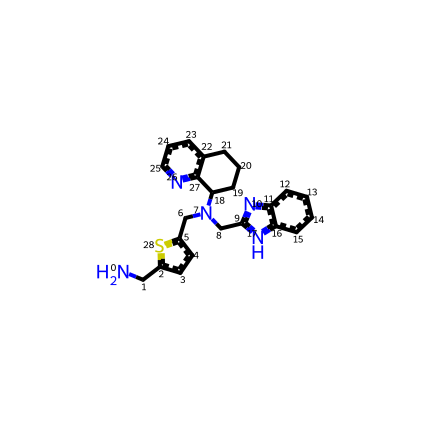 NCc1ccc(CN(Cc2nc3ccccc3[nH]2)C2CCCc3cccnc32)s1